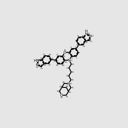 c1cc2c(cc1-c1ccc3[nH]ncc3c1)Oc1cc(-c3ccc4[nH]ncc4c3)ccc1N2CCCCCN1CC2COCC(C2)C1